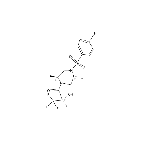 C[C@@H]1CN(C(=O)[C@@](C)(O)C(F)(F)F)[C@@H](C)CN1S(=O)(=O)c1ccc(F)cc1